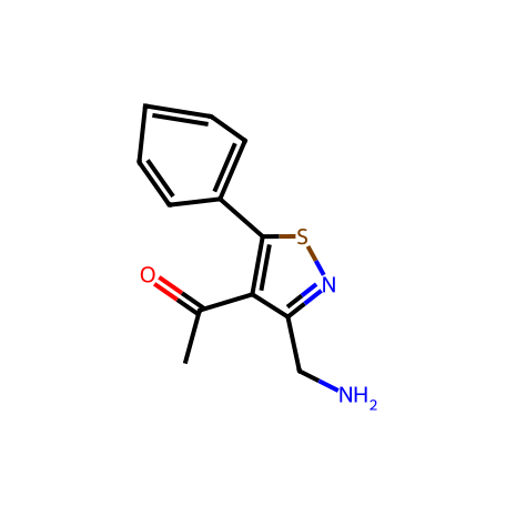 CC(=O)c1c(CN)nsc1-c1ccccc1